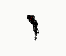 CCCCCCCCc1cnc(-c2ccc(OCC(F)(F)C(F)(F)C(F)(F)C(F)(F)C(F)(F)OC(F)(F)C(F)(F)OC(F)(F)C(F)(OC(F)(F)F)OC(F)(F)C(F)(F)F)cc2)nc1